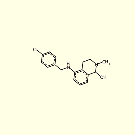 CN1CCc2c(NCc3ccc(Cl)cc3)cccc2C1O